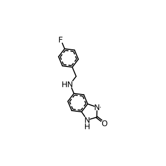 O=C1[N]c2cc(NCc3ccc(F)cc3)ccc2N1